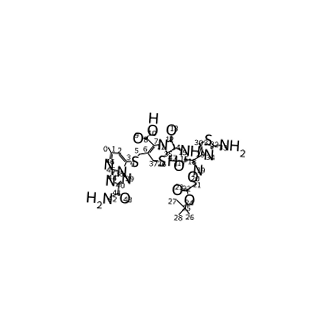 Cc1cc(SCC2=C(C(=O)O)N3C(=O)[C@@H](NC(=O)/C(=N\OCC(=O)OC(C)(C)C)c4csc(N)n4)[C@H]3SC2)n2nc(C(N)=O)nc2n1